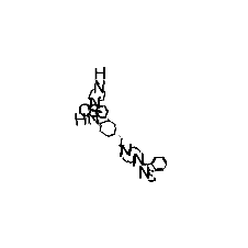 O=S(=O)(N[C@H]1CC[C@@H](CCN2CCN(c3nsc4ccccc34)CC2)CC1)N1CCNCC1